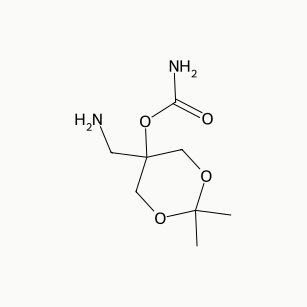 CC1(C)OCC(CN)(OC(N)=O)CO1